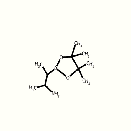 CC(N)C(C)B1OC(C)(C)C(C)(C)O1